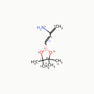 C=C(N)/C=C/B1OC(C)(C)C(C)(C)O1